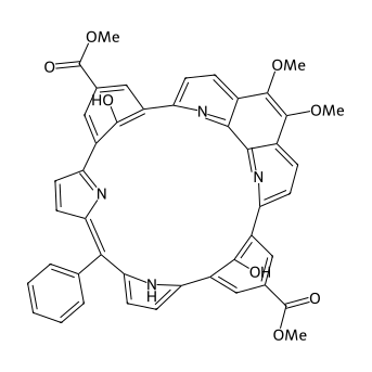 COC(=O)c1cc2c3nc(c(-c4ccccc4)c4ccc([nH]4)c4cc(C(=O)OC)cc(c4O)c4ccc5c(OC)c(OC)c6ccc(nc6c5n4)c(c1)c2O)C=C3